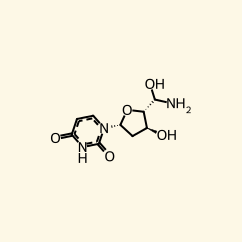 NC(O)[C@H]1O[C@@H](n2ccc(=O)[nH]c2=O)C[C@@H]1O